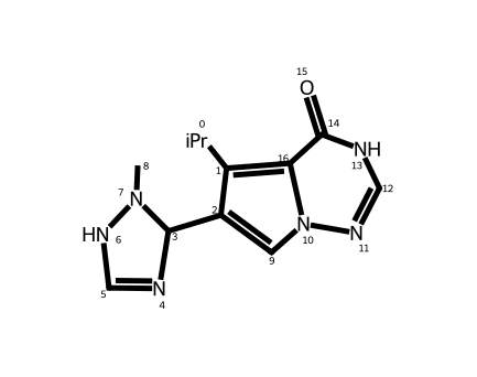 CC(C)c1c(C2N=CNN2C)cn2nc[nH]c(=O)c12